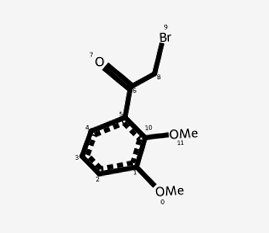 COc1cccc(C(=O)CBr)c1OC